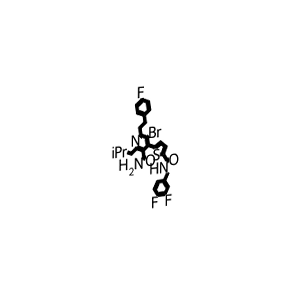 CC(C)Cc1nc(CCc2ccc(F)cc2)c(Br)c(-c2ccc(C(=O)NCc3ccc(F)c(F)c3)s2)c1C(N)=O